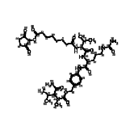 CC(C)[C@H](NC(=O)CCCCCCC(=O)ON1C(=O)CCC1=O)C(=O)N[C@@H](CCCNC(N)=O)C(=O)Nc1ccc(COC(=O)N(C)[C@H](C(N)=O)C(C)C)cc1